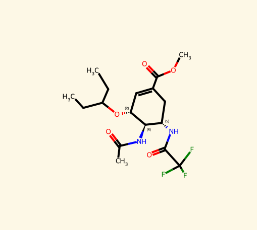 CCC(CC)O[C@@H]1C=C(C(=O)OC)C[C@H](NC(=O)C(F)(F)F)[C@H]1NC(C)=O